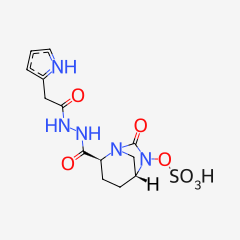 O=C(Cc1ccc[nH]1)NNC(=O)[C@@H]1CC[C@@H]2CN1C(=O)N2OS(=O)(=O)O